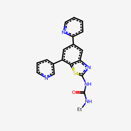 CCNC(=O)Nc1nc2cc(-c3ccccn3)cc(-c3cccnc3)c2s1